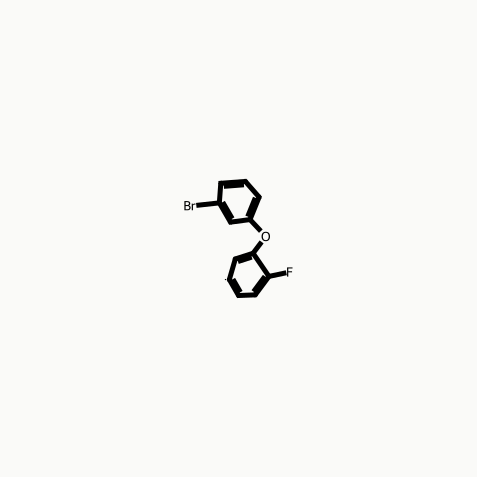 Fc1cc[c]cc1Oc1cccc(Br)c1